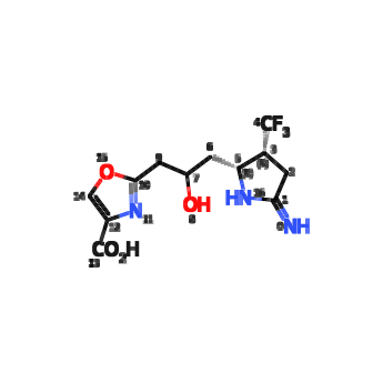 N=C1C[C@@H](C(F)(F)F)[C@@H](CC(O)Cc2nc(C(=O)O)co2)N1